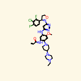 C=CC(=O)Nc1cc(Nc2cc(N3OCCC3c3ccc(F)c(Cl)c3F)ncn2)c(OC)cc1N1CCC(N2CCN(CC)CC2)CC1